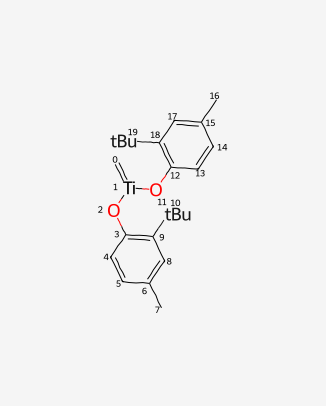 [CH2]=[Ti]([O]c1ccc(C)cc1C(C)(C)C)[O]c1ccc(C)cc1C(C)(C)C